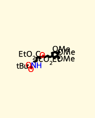 CCOC(=O)C(CCCNC(=O)OC(C)(C)C)(OCCCc1cc(OC)c(OC)c(OC)c1)C(=O)OCC